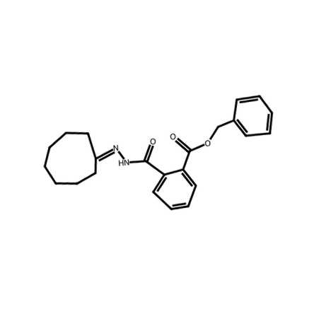 O=C(NN=C1CCCCCCC1)c1ccccc1C(=O)OCc1ccccc1